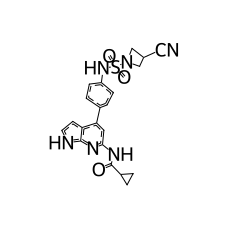 N#CC1CN(S(=O)(=O)Nc2ccc(-c3cc(NC(=O)C4CC4)nc4[nH]ccc34)cc2)C1